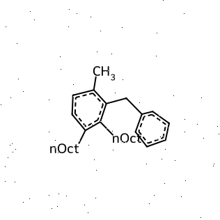 CCCCCCCCc1ccc(C)c(Cc2ccccc2)c1CCCCCCCC